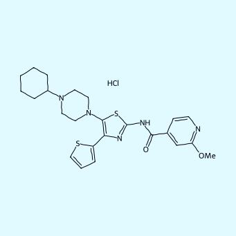 COc1cc(C(=O)Nc2nc(-c3cccs3)c(N3CCN(C4CCCCC4)CC3)s2)ccn1.Cl